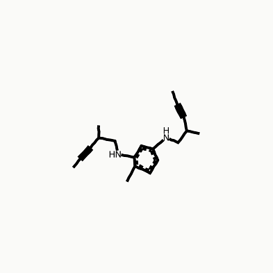 CC#CC(C)CNc1ccc(C)c(NCC(C)C#CC)c1